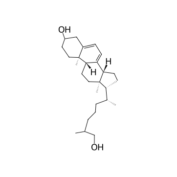 CC(CO)CCC[C@@H](C)[C@H]1CC[C@H]2C3=CC=C4CC(O)CC[C@]4(C)[C@H]3CC[C@]12C